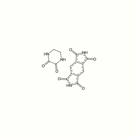 O=C1NCCNC1=O.O=c1[nH]c(=O)c2cc3c(=O)[nH]c(=O)c3cc12